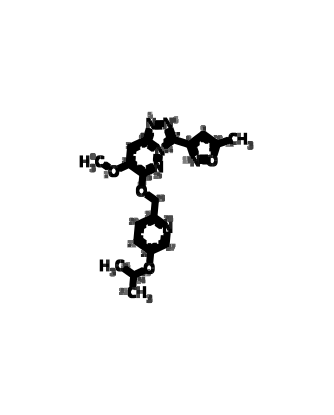 COc1cc2nnc(-c3cc(C)on3)n2nc1OCc1ccc(OC(C)C)cn1